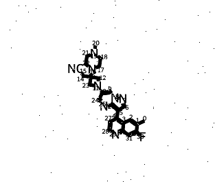 Cc1cc2c(-c3cnn4cc(N5CC(CC#N)(N6CCN(C)CC6)C5)cnc34)ccnc2cc1F